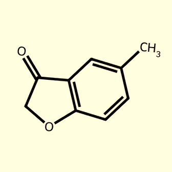 Cc1ccc2c(c1)C(=O)CO2